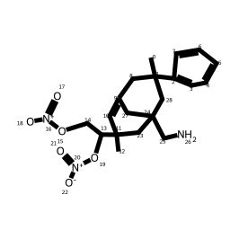 CC1(c2ccccc2)CC2=CC(C)(C(CO[N+](=O)[O-])O[N+](=O)[O-])CC(CN)(C2)C1